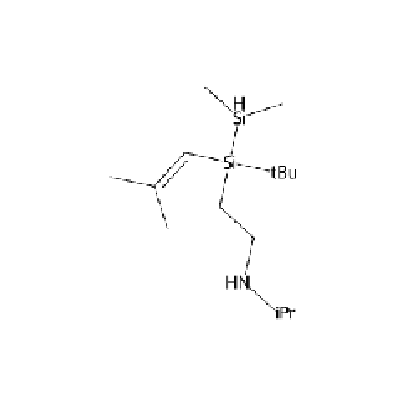 CC(C)=C[Si](CCNC(C)C)([SiH](C)C)C(C)(C)C